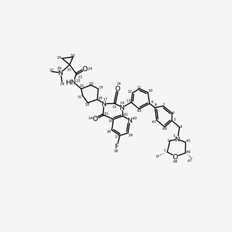 C[C@@H]1CN(Cc2ccc(-c3cccc(-n4c(=O)n(C5CCC(NC(=O)C6(N(C)C)CC6)CC5)c(=O)c5cc(F)cnc54)c3)cc2)C[C@H](C)O1